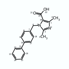 Cc1nc(C)n(Cc2ccc(-c3ccccc3)cc2)c1C(=O)O